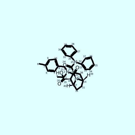 CCN(Cc1ccc(C)cc1)C(=O)N1[C@H]2CC[C@@H]1[C@@H](C(=O)O)N(C(=O)N(c1ccccc1)c1ccccc1)C2